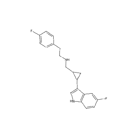 Fc1ccc(CCNCC2CC2c2c[nH]c3ccc(F)cc23)cc1